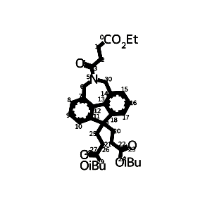 CCOC(=O)CCC(=O)N1Cc2cccc3c2-c2c(cccc2C3(CCC(=O)OCC(C)C)CCC(=O)OCC(C)C)C1